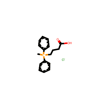 C[P+](CCCC(=O)O)(c1ccccc1)c1ccccc1.[Cl-]